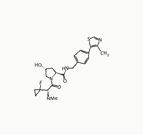 CN[C@H](C(=O)N1C[C@H](O)C[C@H]1C(=O)NCc1ccc(-c2scnc2C)cc1)C1(F)CC1